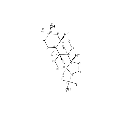 CC(C)(O)[C@H]1CC[C@H]2[C@@H]3CC[C@H]4C[C@](C)(O)CC[C@]4(C)[C@H]3CC[C@]12C